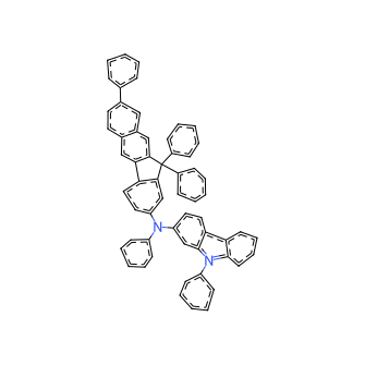 c1ccc(-c2ccc3cc4c(cc3c2)C(c2ccccc2)(c2ccccc2)c2cc(N(c3ccccc3)c3ccc5c6ccccc6n(-c6ccccc6)c5c3)ccc2-4)cc1